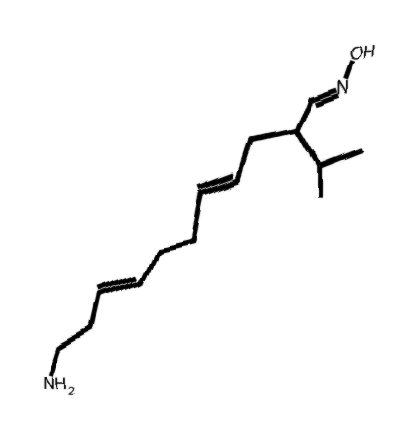 CC(C)C(/C=N/O)C/C=C/CC/C=C/CCN